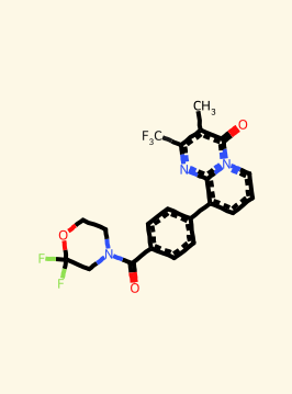 Cc1c(C(F)(F)F)nc2c(-c3ccc(C(=O)N4CCOC(F)(F)C4)cc3)cccn2c1=O